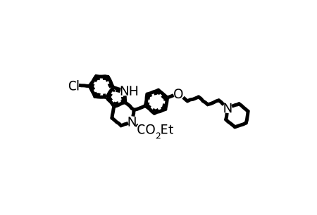 CCOC(=O)N1CCc2c([nH]c3ccc(Cl)cc23)C1c1ccc(OCCCCN2CCCCC2)cc1